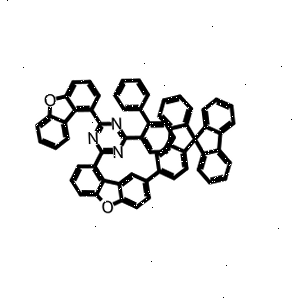 c1ccc(-c2ccccc2-c2nc(-c3cccc4oc5ccccc5c34)nc(-c3cccc4oc5ccc(-c6ccc7c(c6)-c6ccccc6C76c7ccccc7-c7ccccc76)cc5c34)n2)cc1